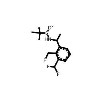 CC(N[S+]([O-])C(C)(C)C)c1cccc(C(F)F)c1CF